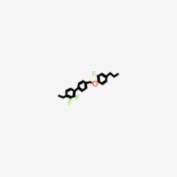 CCCc1ccc(OCc2ccc(-c3ccc(CC)c(F)c3F)cc2)c(F)c1